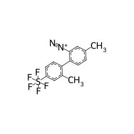 Cc1ccc(-c2ccc(S(F)(F)(F)(F)F)cc2C)c([N+]#N)c1